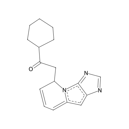 O=C(CC1C=CC=c2cc3c(n21)=NC=N3)C1CCCCC1